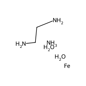 N.NCCN.O.O.[Fe]